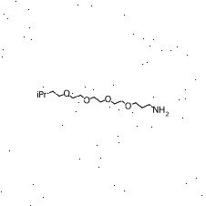 CC(C)CCOCCOCCOCCOCCCN